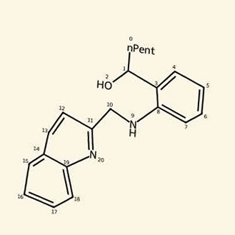 CCCCCC(O)c1ccccc1NCc1ccc2ccccc2n1